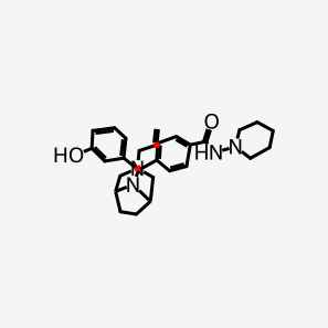 C=CCN1CC2CCC(C1)N2C(c1ccc(C(=O)NN2CCCCC2)cc1)c1cccc(O)c1